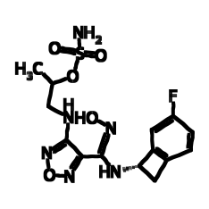 CC(CNc1nonc1C(=NO)N[C@H]1Cc2ccc(F)cc21)OS(N)(=O)=O